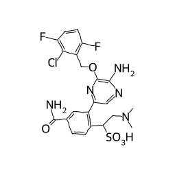 CN(C)CC(c1ccc(C(N)=O)cc1-c1cnc(N)c(OCc2c(F)ccc(F)c2Cl)n1)S(=O)(=O)O